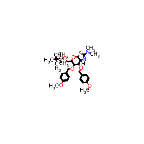 COc1ccc(COC2C(CO[Si](C)(C)C(C)(C)C)OC3SC(N(C)C)=N[C@@H]3C2OCc2ccc(OC)cc2)cc1